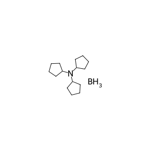 B.C1CCC(N(C2CCCC2)C2CCCC2)C1